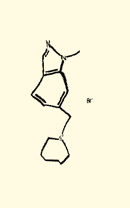 Cn1ncc2ccc(C[S+]3CCCC3)cc21.[Br-]